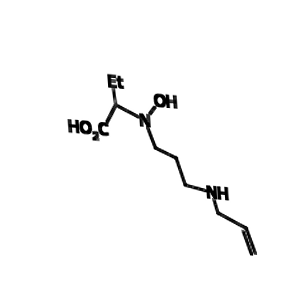 C=CCNCCCN(O)C(CC)C(=O)O